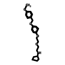 COc1ccc(COc2ccc(OCCOCCNC3CCCC3)cc2)cc1